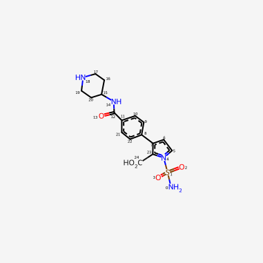 NS(=O)(=O)n1ccc(-c2ccc(C(=O)NC3CCNCC3)cc2)c1C(=O)O